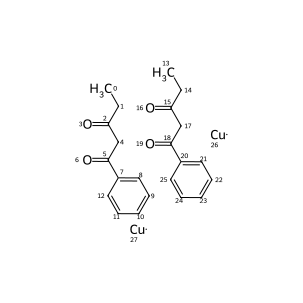 CCC(=O)CC(=O)c1ccccc1.CCC(=O)CC(=O)c1ccccc1.[Cu].[Cu]